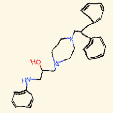 OC(CNc1ccccc1)CN1CCN(CC(c2ccccc2)c2ccccc2)CC1